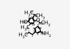 CCCc1cccc(N)c1.CCOc1cc(C)c(O)cc1C(C)C